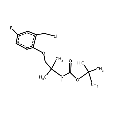 CC(C)(COc1ccc(F)cc1CCl)NC(=O)OC(C)(C)C